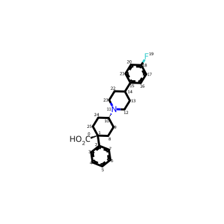 O=C(O)[C@]1(c2ccccc2)CC[C@@H](N2CCC(c3ccc(F)cc3)CC2)CC1